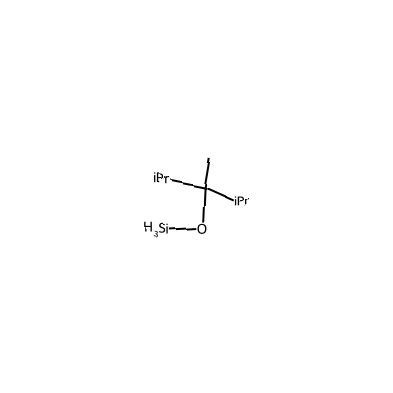 CC(C)C(C)(O[SiH3])C(C)C